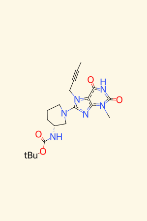 CC#CCn1c(N2CCC[C@@H](NC(=O)OC(C)(C)C)C2)nc2c1c(=O)[nH]c(=O)n2C